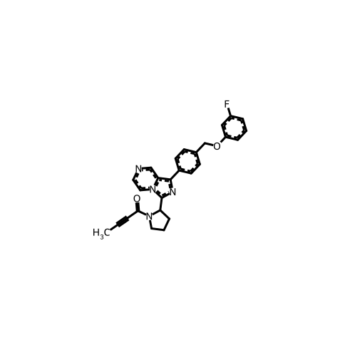 CC#CC(=O)N1CCCC1c1nc(-c2ccc(COc3cccc(F)c3)cc2)c2cnccn12